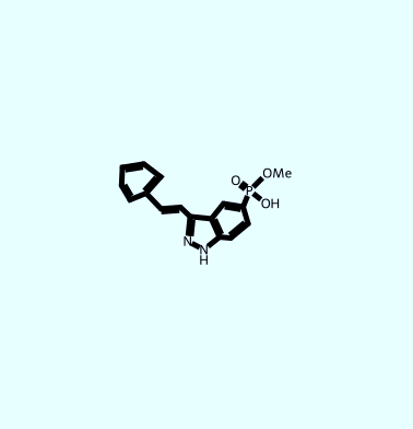 COP(=O)(O)c1ccc2[nH]nc(C=Cc3ccccc3)c2c1